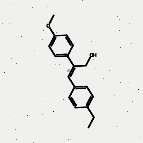 CCc1ccc(/C=C(\CO)c2ccc(OC)cc2)cc1